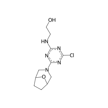 OCCNc1nc(Cl)nc(N2CC3CCC(C2)O3)n1